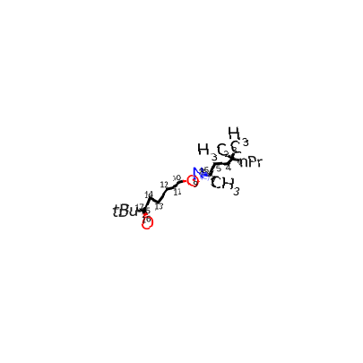 CCCC(C)(C)CC/C(C)=N/OCCCCCC(=O)C(C)(C)C